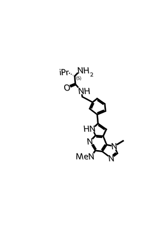 CNc1nc2[nH]c(-c3cccc(CNC(=O)[C@@H](N)C(C)C)c3)cc2c2c1ncn2C